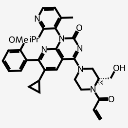 C=CC(=O)N1CCN(c2nc(=O)n(-c3c(C)ccnc3C(C)C)c3nc(-c4ccccc4OC)c(C4CC4)cc23)C[C@@H]1CO